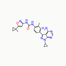 Cc1cc(-c2nn(C3CC3)c3ncnc(N)c23)ccc1NC(=O)Nc1cc(C2(C)CC2)on1